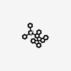 c1ccc(-c2cc(-c3ccccc3)nc(-c3cc4c(c5ccccc35)-c3c(ccc5ccccc35)C43c4ccccc4-c4ccccc43)n2)cc1